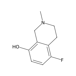 CN1CCc2c(F)ccc(O)c2C1